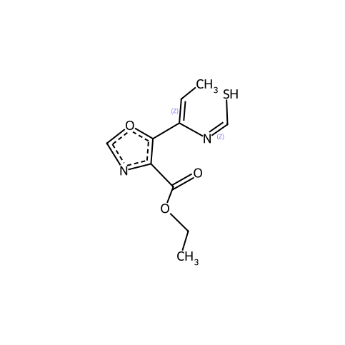 C/C=C(\N=C/S)c1ocnc1C(=O)OCC